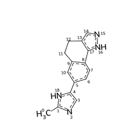 Cc1ncc(-c2ccc3c(c2)CCc2cn[nH]c2-3)[nH]1